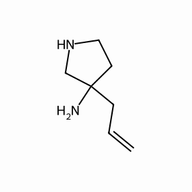 C=CCC1(N)CCNC1